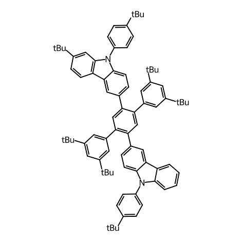 CC(C)(C)c1ccc(-n2c3ccccc3c3cc(-c4cc(-c5cc(C(C)(C)C)cc(C(C)(C)C)c5)c(-c5ccc6c(c5)c5ccc(C(C)(C)C)cc5n6-c5ccc(C(C)(C)C)cc5)cc4-c4cc(C(C)(C)C)cc(C(C)(C)C)c4)ccc32)cc1